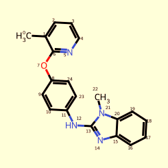 Cc1cccnc1Oc1ccc(Nc2nc3ccccc3n2C)cc1